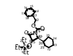 CC[Si](CC)(CC)O[C@H]1C(=O)N(C(=O)OCc2ccccc2)[C@H]1C1CCCCC1